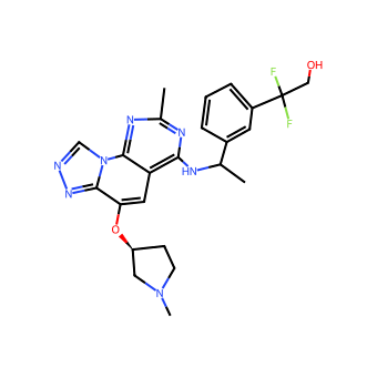 Cc1nc(NC(C)c2cccc(C(F)(F)CO)c2)c2cc(O[C@H]3CCN(C)C3)c3nncn3c2n1